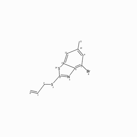 C=CCSc1nc2c(Br)cc(C)cc2s1